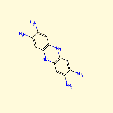 Nc1cc2c(cc1N)Nc1cc(N)c(N)cc1N2